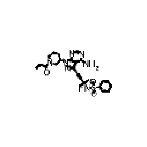 C=CC(=O)N1CCC[C@@H](n2nc(C#CC(C)(C)NS(=O)(=O)c3ccccc3)c3c(N)ncnc32)C1